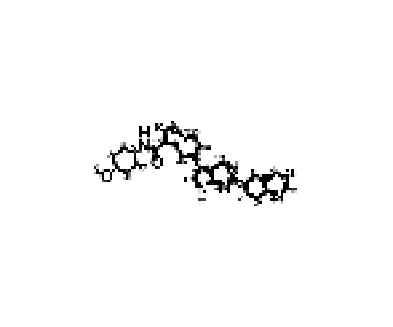 CO[C@H]1CC[C@H](NC(=O)c2cnn3ccc(-c4c[nH]c5nc(-c6ccc7ncccc7c6)ncc45)cc23)CC1